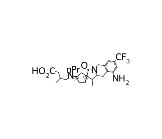 CCCN(CC(C)CC(=O)O)[C@@H]1CC[C@@]2(C1)C(=O)N1Cc3cc(C(F)(F)F)cc(N)c3CC1C2C